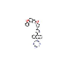 C=C(/C=C\C(=C)c1c2ccccc2c(/C2=C/C=C\C/C=C\C=C/C2)c2ccccc12)c1ccc2oc3cc4ccc5oc6ccccc6c5c4cc3c2c1